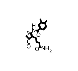 Cc1ccc(C(=O)NC2=C(CCCC(N)=O)C(=C=O)CS2)cc1C